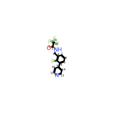 O=C(NCc1cccc(-c2ccncc2)c1F)C(F)(F)F